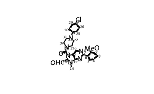 COc1ccccc1-c1ncc2c(n1)N(C)C(C=O)N2C(=O)N1CCN(c2ccc(Cl)cc2)CC1